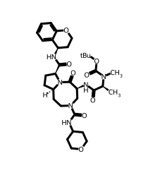 C[C@@H](C(=O)N[C@H]1CN(C(=O)NC2CCOCC2)CC[C@H]2CC[C@@H](C(=O)N[C@@H]3CCOc4ccccc43)N2C1=O)N(C)C(=O)OC(C)(C)C